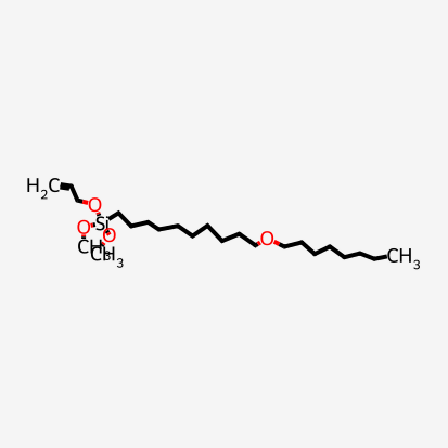 C=CCO[Si](CCCCCCCCCCOCCCCCCCC)(OC)OC